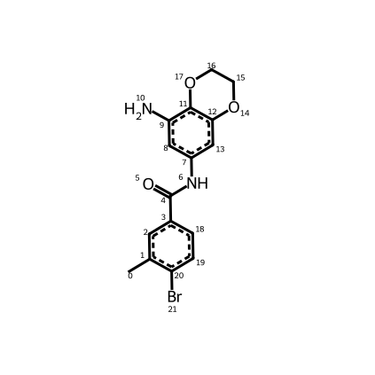 Cc1cc(C(=O)Nc2cc(N)c3c(c2)OCCO3)ccc1Br